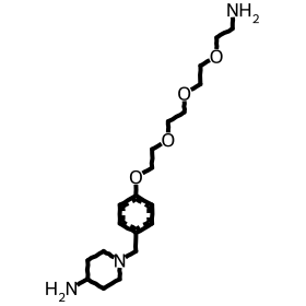 NCCOCCOCCOCCOc1ccc(CN2CCC(N)CC2)cc1